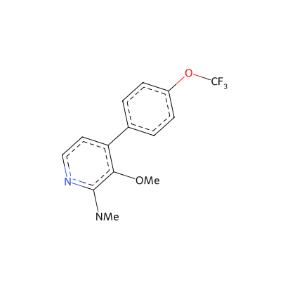 CNc1nccc(-c2ccc(OC(F)(F)F)cc2)c1OC